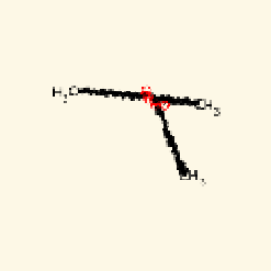 CCCCCCCCC=CCCCCCCCC(=O)OCC(CCCCCCCCCC)OC(=O)CCCCCCCC=CCCCCCCCC